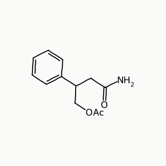 CC(=O)OCC(CC(N)=O)c1ccccc1